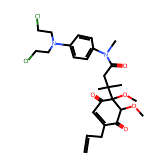 C=CCC1=CC(=O)C(OC)(C(C)(C)CC(=O)N(C)c2ccc(N(CCCl)CCCl)cc2)C(OC)C1=O